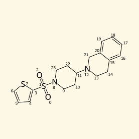 O=S(=O)(c1cccs1)N1CCC(N2CCc3ccccc3C2)CC1